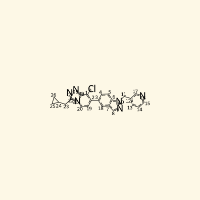 Clc1c(-c2ccc3c(cnn3Cc3cccnc3)c2)ccn2c(CC3CC3)nnc12